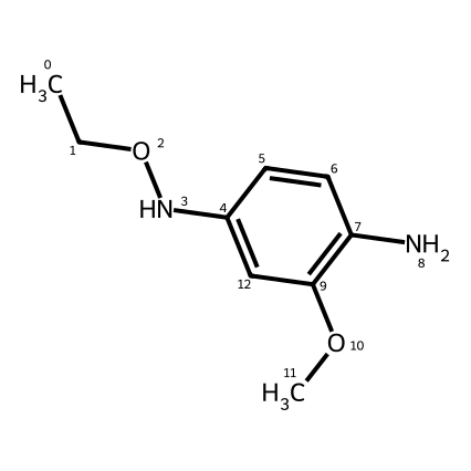 CCONc1ccc(N)c(OC)c1